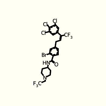 O=C(NC1CCN(CC(F)(F)F)CC1)c1ccc(C/C=C(\c2cc(Cl)c(Cl)c(Cl)c2)C(F)(F)F)cc1Br